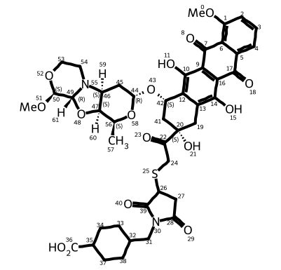 COc1cccc2c1C(=O)c1c(O)c3c(c(O)c1C2=O)C[C@@](O)(C(=O)CSC1CC(=O)N(CC2CCC(C(=O)O)CC2)C1=O)C[C@@H]3O[C@H]1C[C@H]2[C@H](O[C@@H]3[C@@H](OC)OCCN32)[C@H](C)O1